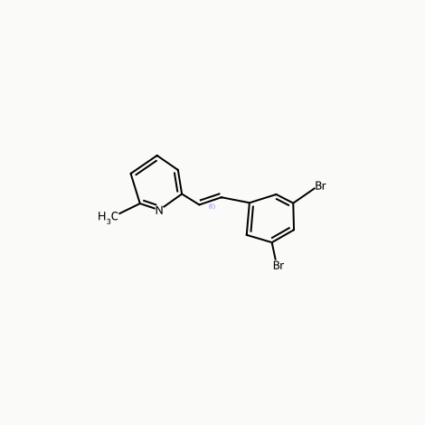 Cc1cccc(/C=C/c2cc(Br)cc(Br)c2)n1